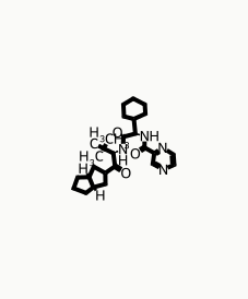 CC(C)(C)[C@H](NC(=O)[C@@H](NC(=O)c1cnccn1)C1CCCCC1)C(=O)C1C[C@H]2CCC[C@H]2C1